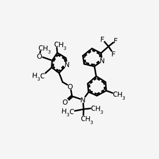 COc1c(C)cnc(COC(=O)N(c2cc(C)cc(-c3cccc(C(F)(F)F)n3)c2)C(C)(C)C)c1C